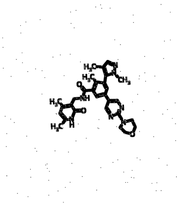 Cc1cc(C)c(CNC(=O)c2cc(-c3cnc(N4CCOCC4)nc3)cc(-c3c(C)cnn3C)c2C)c(=O)[nH]1